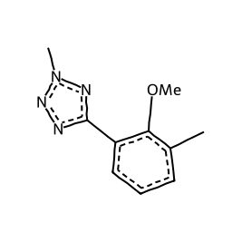 COc1c(C)cccc1-c1nnn(C)n1